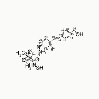 C[C@@](CCn1cc2c(F)c(C#Cc3ccc(CO)cc3)ccc2n1)(C(=O)NO)S(C)(=O)=O